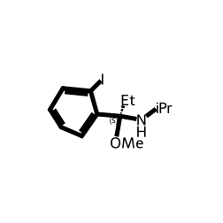 CC[C@](NC(C)C)(OC)c1ccccc1I